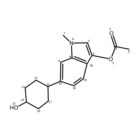 CC(=O)Oc1cn(C)c2cc(C3CCC(O)CC3)ccc12